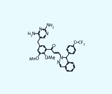 COc1cc(Cc2cnc(N)nc2N)cc(C(=O)C=CN2N=Cc3ccccc3C2c2ccc(OC(F)(F)F)cc2)c1OC